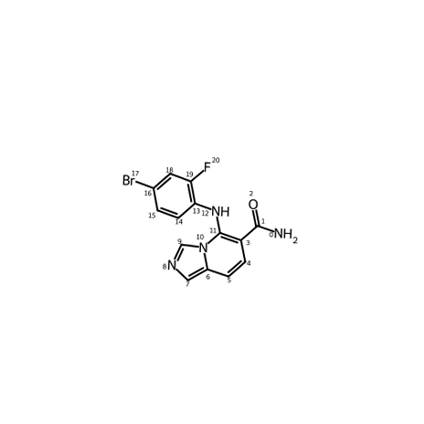 NC(=O)c1ccc2cncn2c1Nc1ccc(Br)cc1F